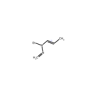 C=NN(/C=C/C)CC